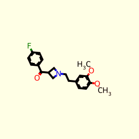 COc1ccc(CCN2CC(C(=O)c3ccc(F)cc3)C2)cc1OC